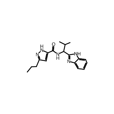 CCCc1cc(C(=O)NC(c2nc3ccccc3[nH]2)C(C)C)[nH]n1